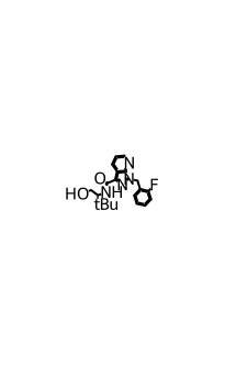 CC(C)(C)[C@@H](CO)NC(=O)c1nn(Cc2ccccc2F)c2ncccc12